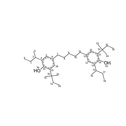 CCC(C)c1cc(CCCCCc2cc(C(C)CC)c(O)c(C(C)(C)CC)c2)cc(C(C)(C)CC)c1O